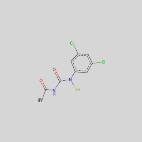 CC(C)C(=O)NC(=O)N(S)c1cc(Cl)cc(Cl)c1